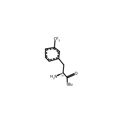 CC(C)(C)C(=O)[C@@H](N)Cc1cccc(C(F)(F)F)c1